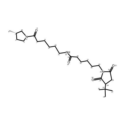 C[C@H]1CCN(C(=O)CCCCCNC(=O)CCCCCN2C(=O)CC(C(C)(C)C)C2=O)C1